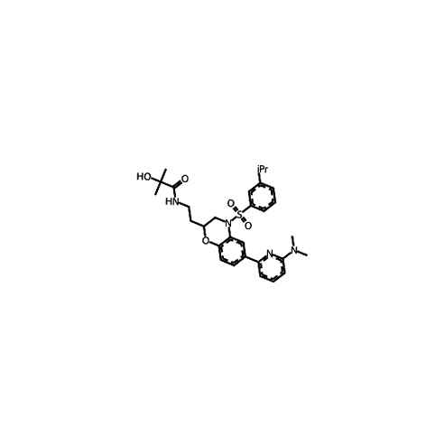 CC(C)c1cccc(S(=O)(=O)N2CC(CCNC(=O)C(C)(C)O)Oc3ccc(-c4cccc(N(C)C)n4)cc32)c1